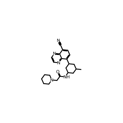 CC1CC(NC(=O)CN2CCCCC2)CC(c2ccc(C#N)c3nccnc23)C1